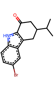 CC(C)C1CC(=O)c2[nH]c3ccc(Br)cc3c2C1